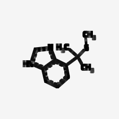 CSC(C)(C)c1cccc2[nH]cnc12